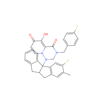 Cc1cc2c(cc1F)C1(N3CN(Cc4ccc(F)cc4)C(=O)c4c(O)c(=O)ccn43)c3ccccc3CC1C2